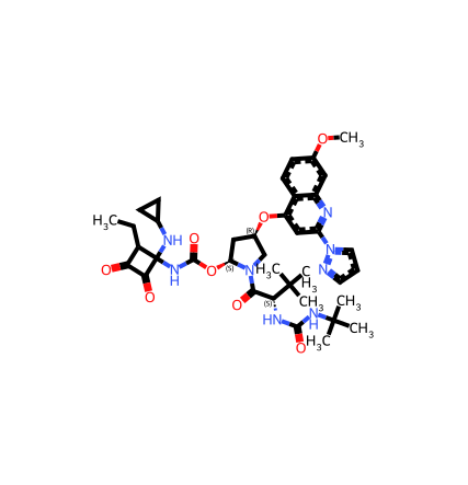 CCC1C(=O)C(=O)C1(NC(=O)O[C@H]1C[C@@H](Oc2cc(-n3cccn3)nc3cc(OC)ccc23)CN1C(=O)[C@@H](NC(=O)NC(C)(C)C)C(C)(C)C)NC1CC1